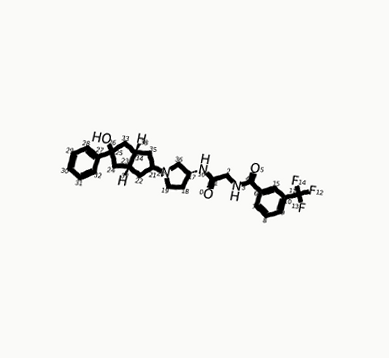 O=C(CNC(=O)c1cccc(C(F)(F)F)c1)N[C@@H]1CCN(C2C[C@@H]3CC(O)(c4ccccc4)C[C@@H]3C2)C1